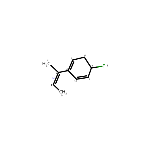 C/C=C(/C)C1=CCC(F)C=C1